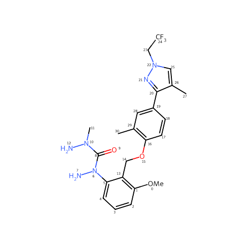 COc1cccc(N(N)C(=O)N(C)N)c1COc1ccc(-c2nn(CC(F)(F)F)cc2C)cc1C